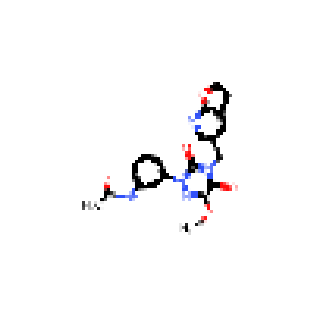 COc1nn(-c2cccc(NC(C)=O)c2)c(=O)n(Cc2cnc3occc3c2)c1=O